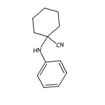 N#CC1(Nc2ccccc2)CCCCC1